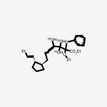 CC/C=C/[C@H]1CCC[C@@H]1CC=C=C([16OH])C([16OH])([16OH])C(OCC)(Oc1ccccc1)C(=O)OCC